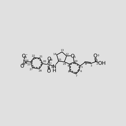 O=C(O)C=Cc1cccc2c1OC1CCC(NS(=O)(=O)c3ccc([N+](=O)[O-])cc3)C21